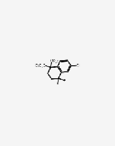 CCOC(=O)C1(C(=O)OCC)CCC(F)(F)c2cc(Cl)ccc21